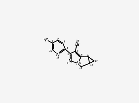 Fc1ccc(-c2nn3c(c2Br)C2CC2C3)nc1